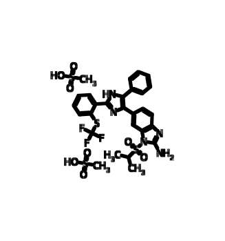 CC(C)S(=O)(=O)n1c(N)nc2ccc(-c3nc(-c4ccccc4SC(F)(F)F)[nH]c3-c3ccccc3)cc21.CS(=O)(=O)O.CS(=O)(=O)O